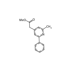 COC(=O)Cc1cc(C)nc(-c2ccccc2)c1